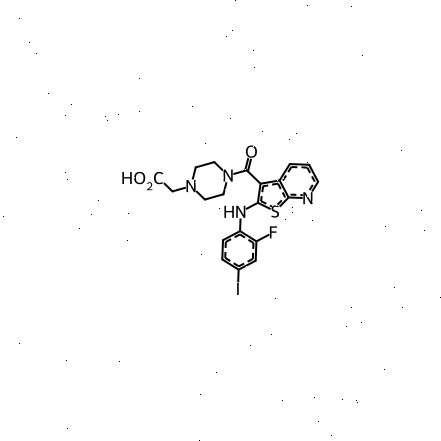 O=C(O)CN1CCN(C(=O)c2c(Nc3ccc(I)cc3F)sc3ncccc23)CC1